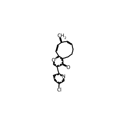 C=C1/C=C\CCCc2c(occ(-c3ccc(Cl)cn3)c2=O)/C=C\1